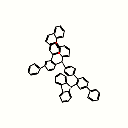 c1ccc(-c2ccc(N(c3ccc(-c4ccc(-c5ccccc5)cc4-n4c5ccccc5c5ccccc54)cc3)c3cccc(-c4cccc5ccccc45)c3)c(-c3ccccc3)c2)cc1